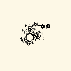 CC[C@H]1OC(=O)[C@H](C)[C@@H](C2C[C@@](C)(OC)[C@@H](O)[C@H](C)O2)[C@H](C)[C@@H](O[C@@H]2O[C@H](C)C[C@H](N(C)CCc3cn(CCc4ccc(Oc5ccccc5)cc4)nn3)[C@H]2O)[C@](C)(O)C[C@@H](C)CN(C)[C@H](C)[C@@H](O)[C@]1(C)O